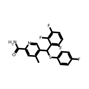 Cc1cc(C(N)=O)ncc1C(Sc1ccc(F)cc1)c1c(F)ccc(F)c1F